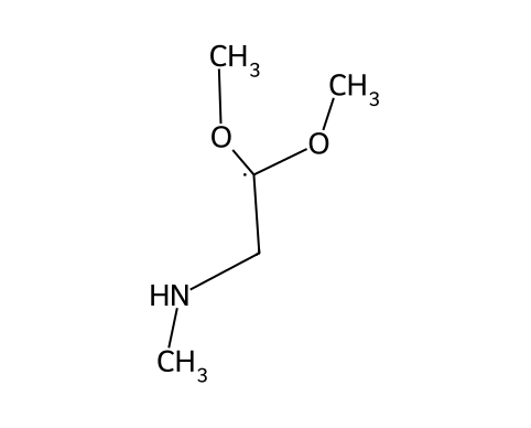 CNC[C](OC)OC